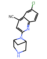 N#Cc1cc(N2C3CNCC2C3)nc2ccc(Cl)cc12